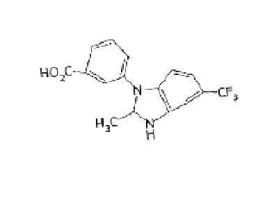 CC1Nc2cc(C(F)(F)F)ccc2N1c1cccc(C(=O)O)c1